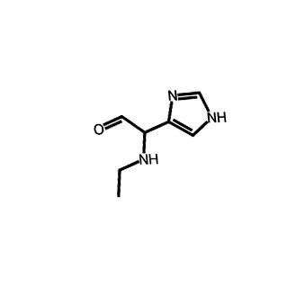 CCNC(C=O)c1c[nH]cn1